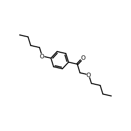 CCCCOCC(=O)c1ccc(OCCCC)cc1